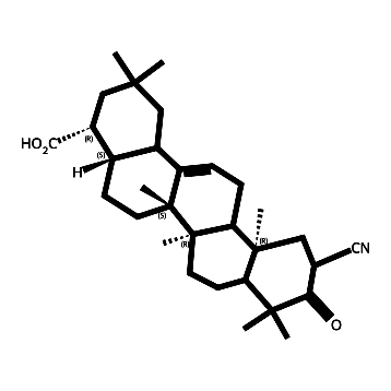 CC1(C)CC2C3=CCC4[C@@]5(C)CC(C#N)C(=O)C(C)(C)C5CC[C@@]4(C)[C@]3(C)CC[C@@H]2[C@H](C(=O)O)C1